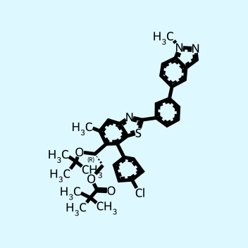 Cc1cc2nc(-c3cccc(-c4ccc5c(cnn5C)c4)c3)sc2c(-c2ccc(Cl)cc2)c1[C@H](COC(=O)C(C)(C)C)OC(C)(C)C